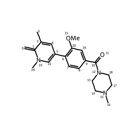 C=C1C(C)=CC(c2ccc(C(=O)N3CCN(C)CC3)cc2OC)=CN1C